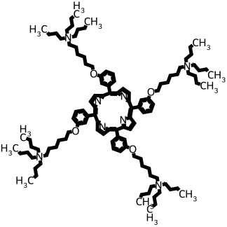 CCCC[N+](CCCC)(CCCC)CCCCCCOc1cccc(C2=C3C=CC(=N3)C(c3cccc(OCCCCCC[N+](CCCC)(CCCC)CCCC)c3)=C3C=CC(=N3)C(c3cccc(OCCCCCC[N+](CCCC)(CCCC)CCCC)c3)=C3C=CC(=N3)C(c3cccc(OCCCCCC[N+](CCCC)(CCCC)CCCC)c3)=C3C=CC2=N3)c1